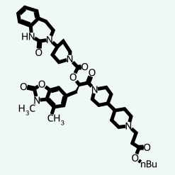 CCCCOC(=O)CCN1CCC(C2CCN(C(=O)[C@@H](Cc3cc(C)c4c(c3)oc(=O)n4C)OC(=O)N3CCC(N4CCc5ccccc5NC4=O)CC3)CC2)CC1